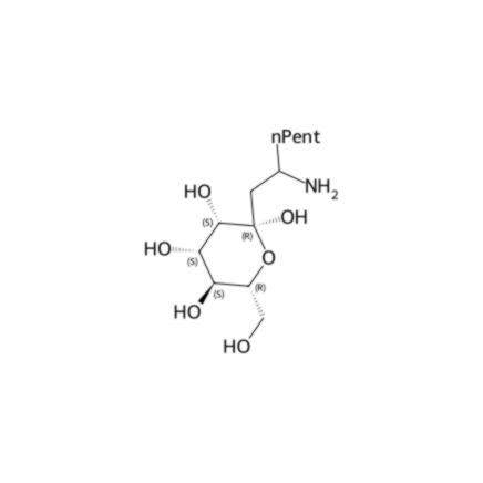 CCCCCC(N)C[C@@]1(O)O[C@H](CO)[C@@H](O)[C@H](O)[C@@H]1O